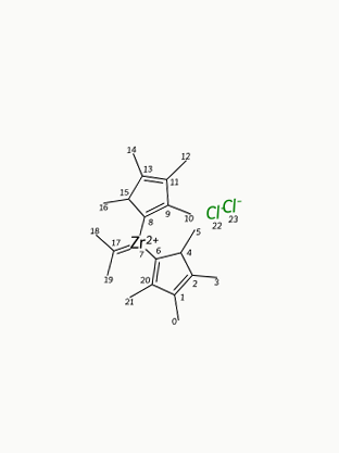 CC1=C(C)C(C)[C]([Zr+2]([C]2=C(C)C(C)=C(C)C2C)=[C](C)C)=C1C.[Cl-].[Cl-]